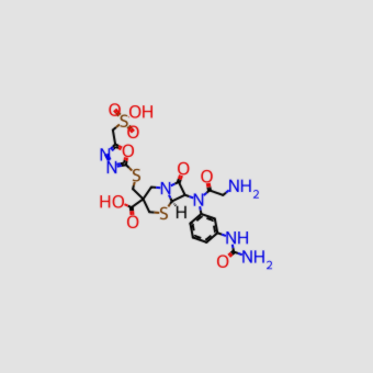 NCC(=O)N(c1cccc(NC(N)=O)c1)C1C(=O)N2CC(CSc3nnc(CS(=O)(=O)O)o3)(C(=O)O)CS[C@H]12